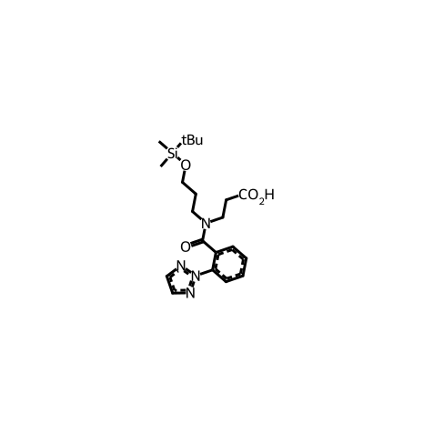 CC(C)(C)[Si](C)(C)OCCCN(CCC(=O)O)C(=O)c1ccccc1-n1nccn1